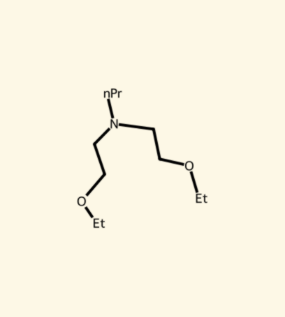 [CH2]CCN(CCOCC)CCOCC